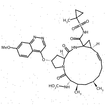 COc1ccc2c(O[C@@H]3C[C@H]4C(=O)NC5(C(=O)NS(=O)(=O)C6(C)CC6)C[C@H]5/C=C\CC[C@@H](C)C[C@@H](C)[C@H](NC(=O)O)C(=O)N4C3)cnnc2c1